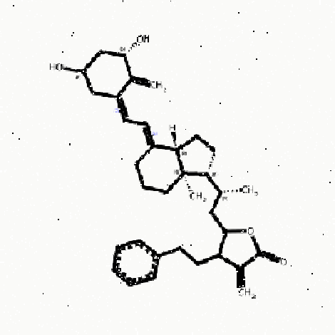 C=C1C(=O)OC(C[C@@H](C)[C@H]2CC[C@H]3/C(=C/C=C4/C[C@@H](O)C[C@H](O)C4=C)CCC[C@]23C)C1CCc1ccccc1